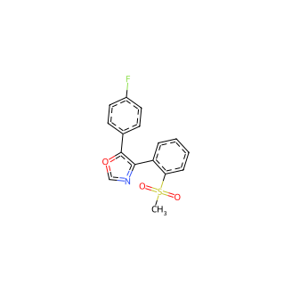 CS(=O)(=O)c1ccccc1-c1ncoc1-c1ccc(F)cc1